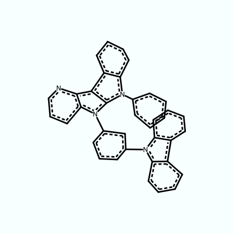 c1ccc(-n2c3ccccc3c3c4ncccc4n(-c4cccc(-n5c6ccccc6c6ccccc65)c4)c32)cc1